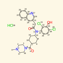 CN1CCN(C(=O)C2CCC(N(C(=O)Cc3cnc4ccccc4c3)c3ccc(Cl)c(O)c3Cl)CC2)CC1.Cl